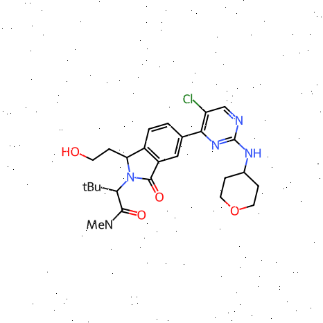 CNC(=O)C(N1C(=O)c2cc(-c3nc(NC4CCOCC4)ncc3Cl)ccc2C1CCO)C(C)(C)C